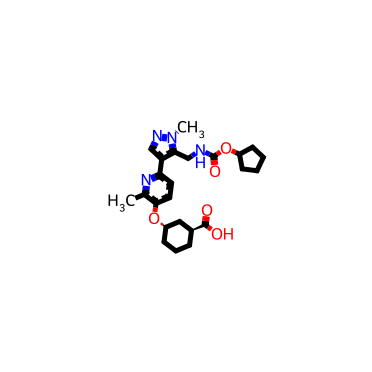 Cc1nc(-c2cnn(C)c2CNC(=O)OC2CCCC2)ccc1O[C@H]1CCC[C@H](C(=O)O)C1